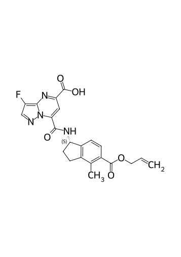 C=CCOC(=O)c1ccc2c(c1C)CC[C@@H]2NC(=O)c1cc(C(=O)O)nc2c(F)cnn12